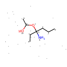 CCCC(N)(CC)OC(C)O